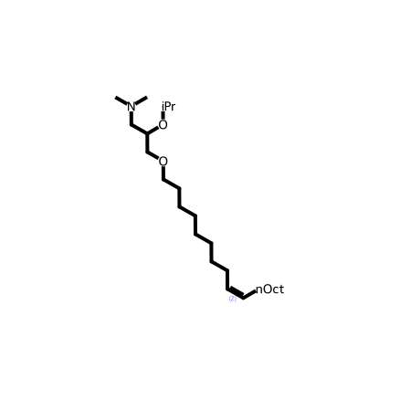 CCCCCCCC/C=C\CCCCCCCCOCC(CN(C)C)OC(C)C